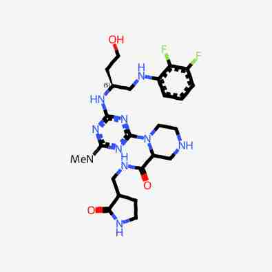 CNc1nc(N[C@@H](CCO)CNc2cccc(F)c2F)nc(N2CCNCC2C(=O)NCC2CCNC2=O)n1